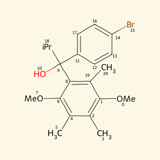 COc1c(C)c(C)c(OC)c(C(O)(c2ccc(Br)cc2)C(C)C)c1C